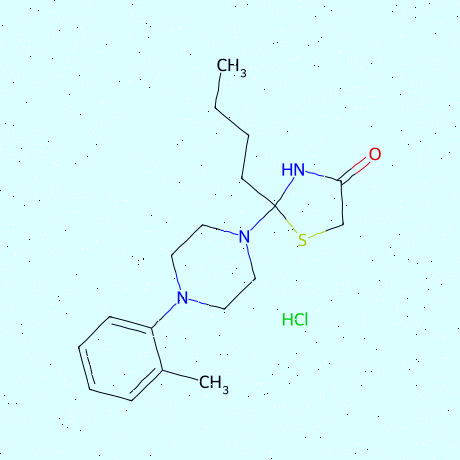 CCCCC1(N2CCN(c3ccccc3C)CC2)NC(=O)CS1.Cl